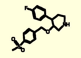 CS(=O)(=O)c1ccc(COC2CNCCC2c2ccc(F)cc2)cc1